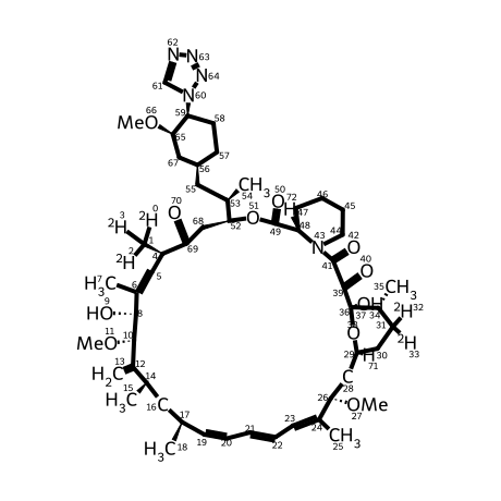 [2H]C([2H])([2H])[C@@H]1/C=C(\C)[C@@H](O)[C@@H](OC)C(=C)[C@H](C)C[C@H](C)/C=C/C=C/C=C(\C)[C@@H](OC)C[C@@H]2CC([2H])([2H])[C@@H](C)[C@@](O)(O2)C(=O)C(=O)N2CCCC[C@H]2C(=O)O[C@H]([C@H](C)C[C@@H]2CC[C@H](n3cnnn3)[C@H](OC)C2)CC1=O